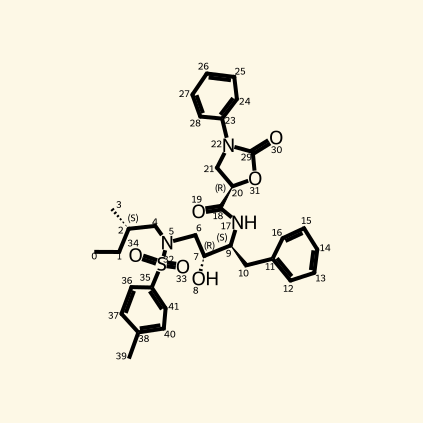 CC[C@H](C)CN(C[C@@H](O)[C@H](Cc1ccccc1)NC(=O)[C@H]1CN(c2ccccc2)C(=O)O1)S(=O)(=O)c1ccc(C)cc1